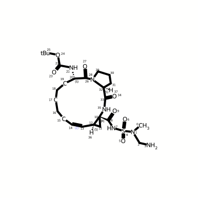 CN(CN)S(=O)(=O)NC(=O)[C@@]12C[C@H]1/C=C\CCCCC[C@H](NC(=O)OC(C)(C)C)C(=O)N1CCC[C@H]1C(=O)N2